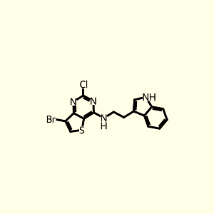 Clc1nc(NCCc2c[nH]c3ccccc23)c2scc(Br)c2n1